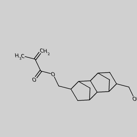 C=C(C)C(=O)OCC1CC2CC1C1C3CC(CO)C(C3)C21